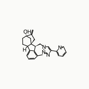 C=C1C[C@]23C[C@@]1(O)CC[C@H]2c1cccc(C)c1[C@@H]3Cn1cc(-c2ccccn2)nn1